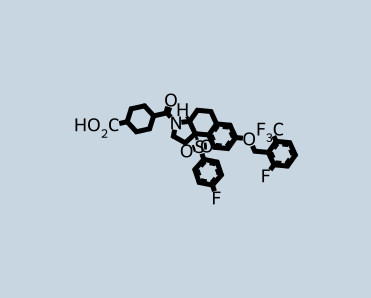 O=C(O)C1CCC(C(=O)N2CC[C@@]3(S(=O)(=O)c4ccc(F)cc4)c4ccc(OCc5c(F)cccc5C(F)(F)F)cc4CC[C@@H]23)CC1